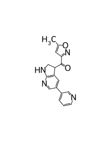 Cc1cc(C(=O)C2CNc3ncc(-c4cccnc4)cc32)no1